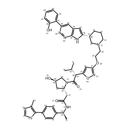 Cc1ncsc1-c1ccc([C@H](C)NC(=O)C[C@@H]2C[C@@H](O)CN2C(=O)[C@@H](c2cc(OCCN3CCC[C@@H](c4cc5cc(-c6ccccc6O)nnc5[nH]4)C3)no2)C(C)C)cc1